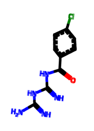 N=C(N)NC(=N)NC(=O)c1ccc(Cl)cc1